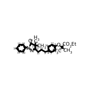 CCOC(=O)C(C)(C)Oc1ccc(CCCC2=NN(c3ccccc3)C(=O)C2(C)C)cc1